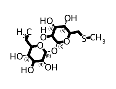 CCC1O[C@H](O[C@H]2OC(CSC)[C@@H](O)[C@H](O)C2O)[C@H](O)C(O)[C@@H]1O